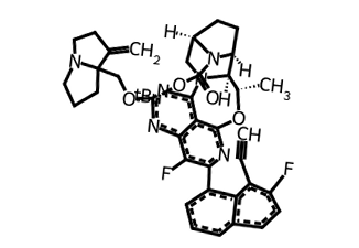 C#Cc1c(F)ccc2cccc(-c3nc4c5c(nc(OCC67CCCN6CCC7=C)nc5c3F)N3C[C@H]5CC[C@@H]([C@H]3[C@H](C)O4)N5C(=O)OC(C)(C)C)c12